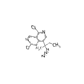 CCC(C)(N=[N+]=[N-])c1cnc(Cl)c2cnc(Cl)cc12